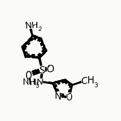 Cc1cc(NS(=O)(=O)c2ccc(N)cc2)no1.N